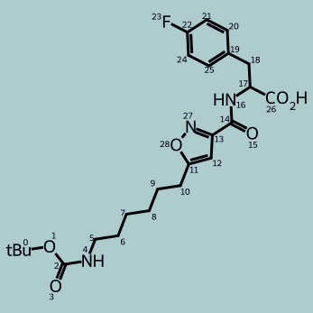 CC(C)(C)OC(=O)NCCCCCCc1cc(C(=O)NC(Cc2ccc(F)cc2)C(=O)O)no1